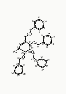 O=C1C=C(COCc2ccccc2)[C@@H](OCc2ccccc2)[C@H](OCc2ccccc2)[C@H]1OCc1ccccc1